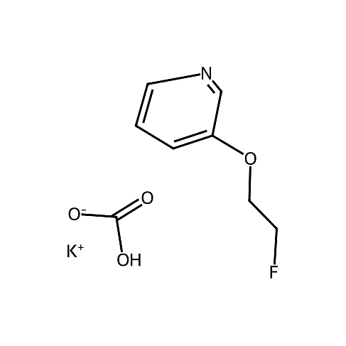 FCCOc1cccnc1.O=C([O-])O.[K+]